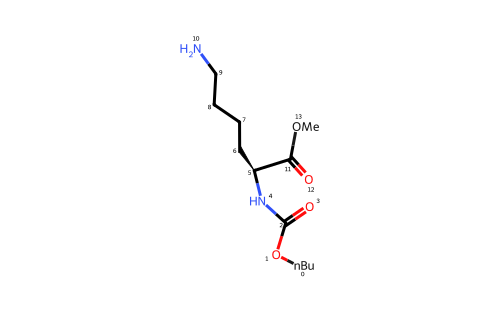 CCCCOC(=O)N[C@@H](CCCCN)C(=O)OC